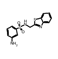 Nc1cccc(S(=O)(=O)NCc2nc3ccccc3s2)c1